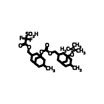 CC1CC2CC(COC(=O)C(F)(F)S(=O)(=O)O)CC(OC(=O)OCC3CC4CC(C)CC(O[Si](C)(C)C)(C3)C4)(C1)C2